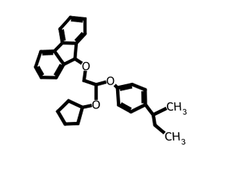 CCC(C)c1ccc(OC(COC2c3ccccc3-c3ccccc32)OC2CCCC2)cc1